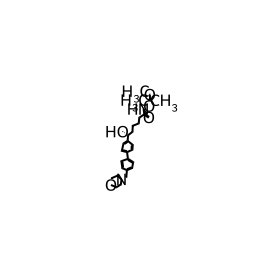 COC(C)(C)ONC(=O)CCCC[C@@H](O)c1ccc(-c2ccc(CN3CCOCC3)cc2)cc1